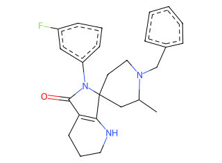 CC1CC2(CCN1Cc1ccccc1)C1=C(CCCN1)C(=O)N2c1cccc(F)c1